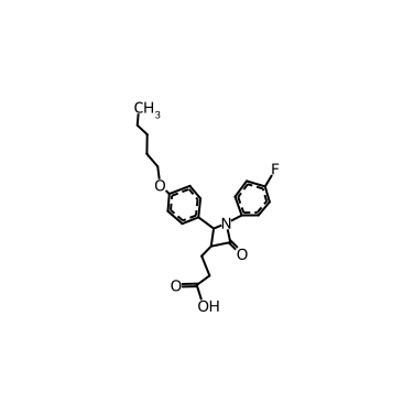 CCCCCOc1ccc(C2C(CCC(=O)O)C(=O)N2c2ccc(F)cc2)cc1